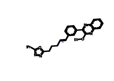 CCOc1nc2ccccc2nc1-c1cccc(/C=C/CCCc2nnc(C(C)C)o2)c1